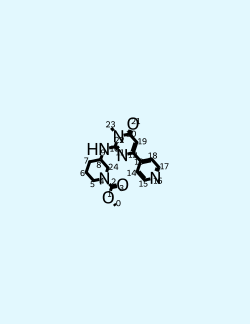 COC(=O)N1CCCC(Nc2nc(-c3ccncc3)cc(=O)n2C)C1